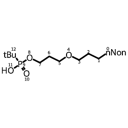 CCCCCCCCCCCCOCCCOP(=O)(O)C(C)(C)C